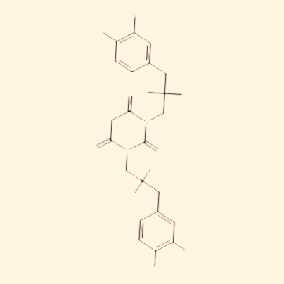 Cc1cc(CC(F)(F)CN2C(=O)CC(=O)N(CC(F)(F)Cc3ccc(Cl)c(Cl)c3)C2=O)ccc1Cl